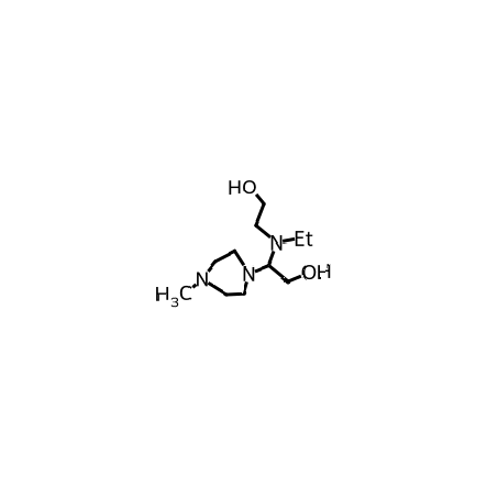 CCN(CCO)C(CO)N1CCN(C)CC1